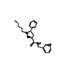 CCCCCN1N=C(C(=O)NCc2cccnc2)CC1c1ccccc1